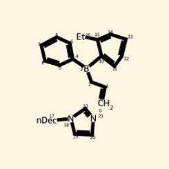 C=CCB(c1ccccc1)c1ccccc1CC.CCCCCCCCCCn1ccnc1